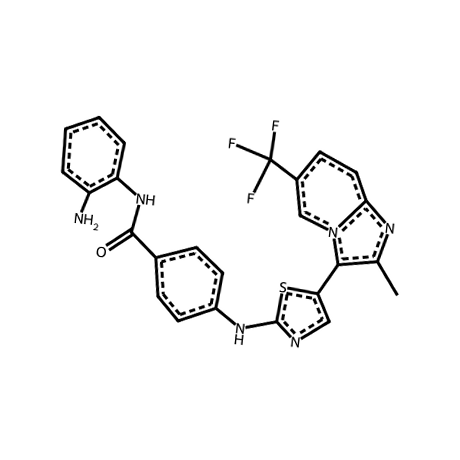 Cc1nc2ccc(C(F)(F)F)cn2c1-c1cnc(Nc2ccc(C(=O)Nc3ccccc3N)cc2)s1